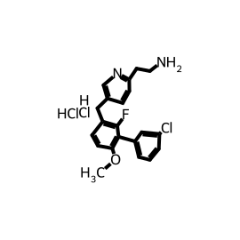 COc1ccc(Cc2ccc(CCN)nc2)c(F)c1-c1cccc(Cl)c1.Cl.Cl